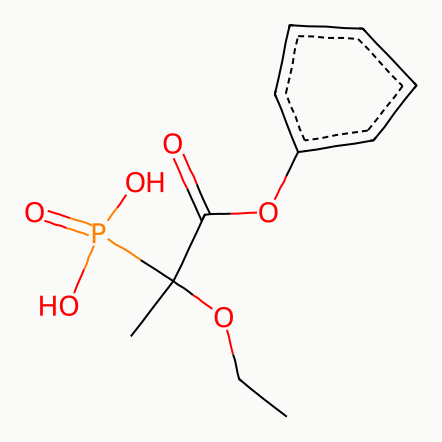 CCOC(C)(C(=O)Oc1ccccc1)P(=O)(O)O